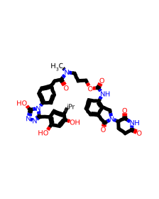 CC(C)c1cc(-c2nnc(O)n2-c2ccc(CC(=O)N(C)CCCOC(=O)Nc3cccc4c3CN(C3CCC(=O)NC3=O)C4=O)cc2)c(O)cc1O